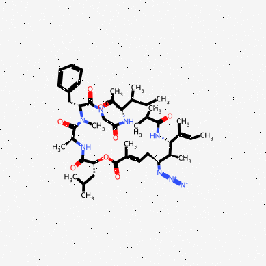 C/C=C(\C)[C@@H](NC(=O)C(C)C)[C@@H](C)[C@H](C/C=C(\C)C(=O)O[C@H](CC(C)C)C(=O)N[C@@H](C)C(=O)N(C)[C@H](Cc1ccccc1)C(=O)N(C)CC(=O)N[C@H](C(C)=O)C(C)CC)N=[N+]=[N-]